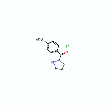 CCCCCCCCc1ccc(C(=O)C2CCCN2)cc1.Cl